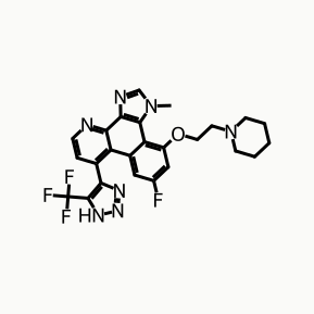 Cn1cnc2c3nccc(-c4nn[nH]c4C(F)(F)F)c3c3cc(F)cc(OCCN4CCCCC4)c3c21